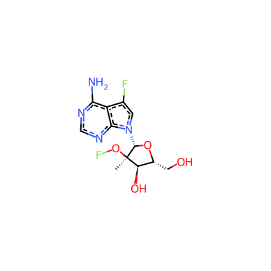 C[C@@]1(OF)[C@H](O)[C@@H](CO)O[C@H]1n1cc(F)c2c(N)ncnc21